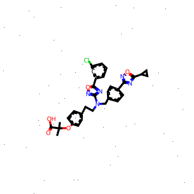 CC(C)(Oc1ccc(CCN(Cc2ccc(-c3noc(C4CC4)n3)cc2)c2noc(-c3cccc(Cl)c3)n2)cc1)C(=O)O